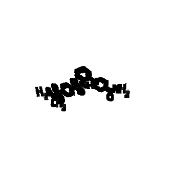 CN(C)S(=O)(=O)c1ccc(S(=O)(=O)Nc2ccccc2N2CCC(C(N)=O)CC2)cc1